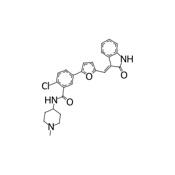 CN1CCC(NC(=O)c2cc(-c3ccc(/C=C4/C(=O)Nc5ccccc54)o3)ccc2Cl)CC1